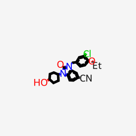 CCOc1ccc(Cn2c(=O)n(C3CCC(O)CC3)c3ccc(C#N)cc32)cc1Cl